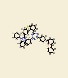 c1ccc(-c2nc(-c3ccc(-c4cccc5c4oc4ccccc45)cc3)nc(-c3cccc4sc5ccc(-c6nc7ccccc7n6-c6ccccc6)cc5c34)n2)cc1